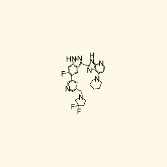 Fc1cc2[nH]nc(-c3nc4c(N5CCCCC5)ccnc4[nH]3)c2cc1-c1cncc(CN2CCC(F)(F)C2)c1